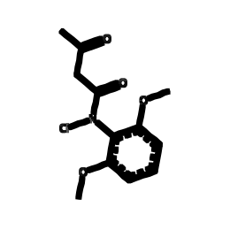 COc1cccc(OC)c1N(Cl)C(=O)CC(C)=O